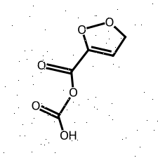 O=C(O)OC(=O)C1=CCOO1